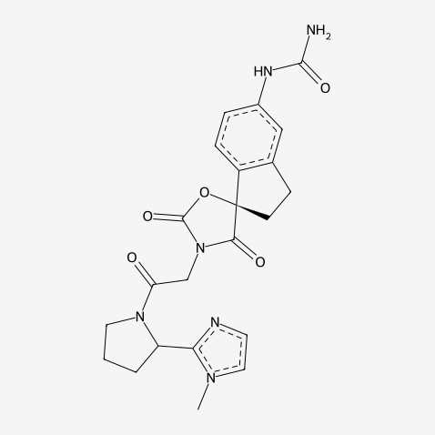 Cn1ccnc1C1CCCN1C(=O)CN1C(=O)O[C@@]2(CCc3cc(NC(N)=O)ccc32)C1=O